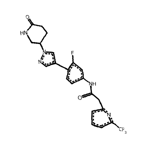 O=C1CCC(n2cc(-c3ccc(NC(=O)Cc4cccc(C(F)(F)F)n4)cc3F)cn2)CN1